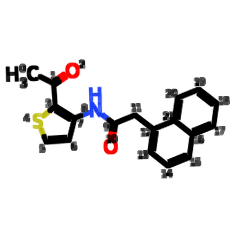 CC(=O)c1sccc1NC(=O)Cc1cccc2ccccc12